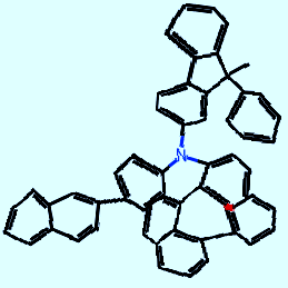 CC1(c2ccccc2)c2ccccc2-c2ccc(N(c3ccc(-c4ccc5ccccc5c4)cc3)c3ccccc3-c3cccc4cccc(-c5ccccc5)c34)cc21